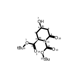 CC(C)(C)OC(=O)[C@H]1C[C@@H](O)CC(=O)N1C(=O)OC(C)(C)C